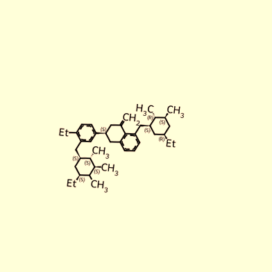 C=C1C[C@H](c2ccc(CC)c(C[C@@H]3C[C@H](CC)C(C)[C@H](C)[C@H]3C)c2)Cc2cccc(C[C@@H]3C[C@H](CC)C[C@H](C)[C@H]3C)c21